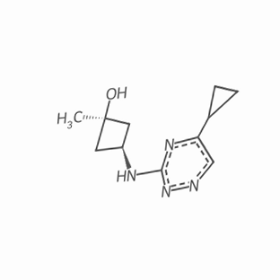 C[C@]1(O)C[C@@H](Nc2nncc(C3CC3)n2)C1